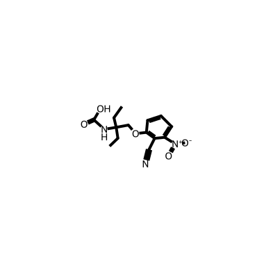 CCC(CC)(COc1cccc([N+](=O)[O-])c1C#N)NC(=O)O